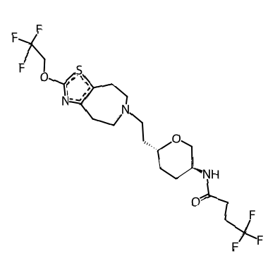 O=C(CCC(F)(F)F)N[C@H]1CC[C@H](CCN2CCc3nc(OCC(F)(F)F)sc3CC2)OC1